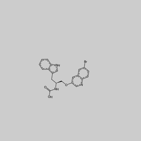 O=C(O)N[C@H](COc1cnc2ccc(Br)cc2c1)Cc1c[nH]c2ccccc12